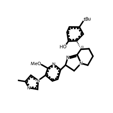 COc1nc(C2CN3CCC[C@@H](c4cc(C(C)(C)C)ccc4O)C3=N2)ccc1-n1cnc(C)c1